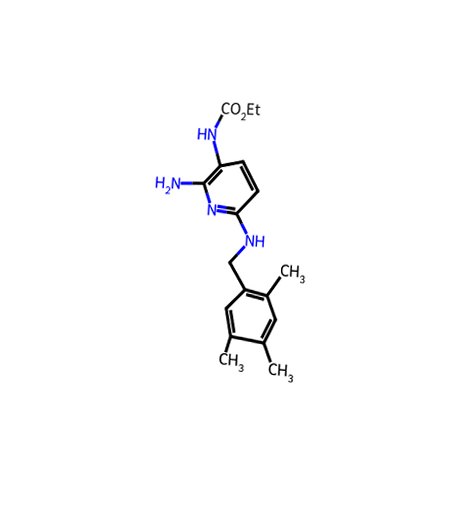 CCOC(=O)Nc1ccc(NCc2cc(C)c(C)cc2C)nc1N